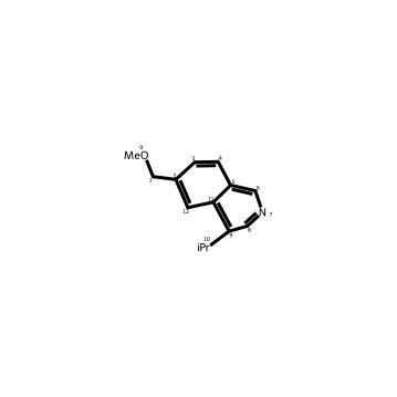 COCc1ccc2cncc(C(C)C)c2c1